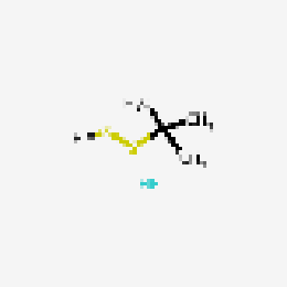 CCSSC(C)(C)C.F